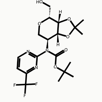 CC(C)(C)OC(=O)N(c1nccc(C(F)(F)F)n1)[C@H]1CO[C@H](CO)[C@@H]2OC(C)(C)O[C@@H]21